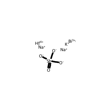 [Bi+3].[Hf+4].[K+].[Na+].[Na+].[O]=[Sb]([O-])([O-])[O-]